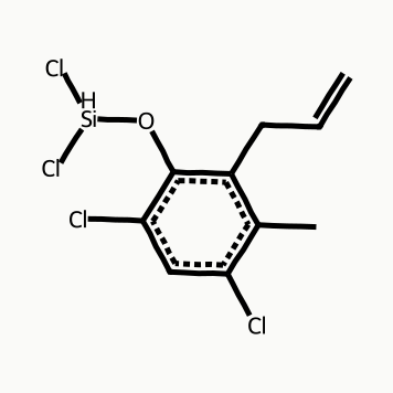 C=CCc1c(C)c(Cl)cc(Cl)c1O[SiH](Cl)Cl